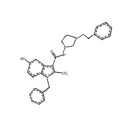 Cc1c(C(=O)NC2CCN(CCc3ccccc3)C2)c2cc(O)ccc2n1Cc1ccccc1